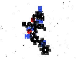 Cc1[nH]c(/C=C2\C(=O)Nc3ccc(-c4cnn(-c5ccccc5)c4)cc32)c(C)c1C(=O)NC1[C@H]2CNC[C@@H]12